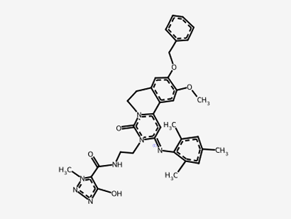 COc1cc2c(cc1OCc1ccccc1)CCn1c-2c/c(=N\c2c(C)cc(C)cc2C)n(CCNC(=O)c2c(O)nnn2C)c1=O